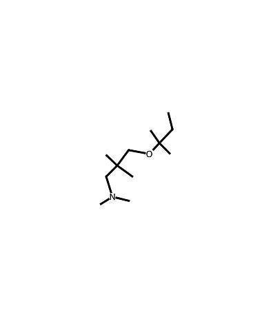 CCC(C)(C)OCC(C)(C)CN(C)C